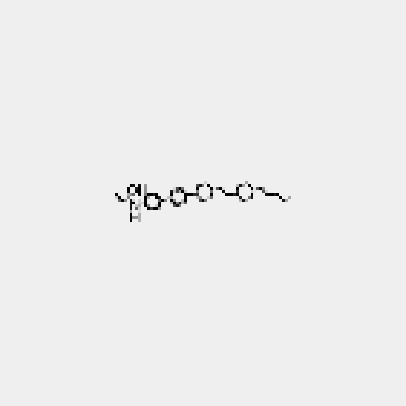 C=CC(O)Nc1ccc(-c2ccc(C3CCC(CCC4CCC(CCCCC)CC4)CC3)cc2)cc1